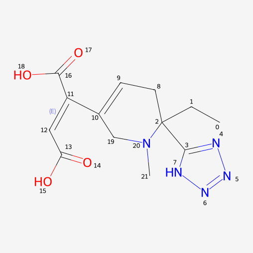 CCC1(c2nnn[nH]2)CC=C(/C(=C\C(=O)O)C(=O)O)CN1C